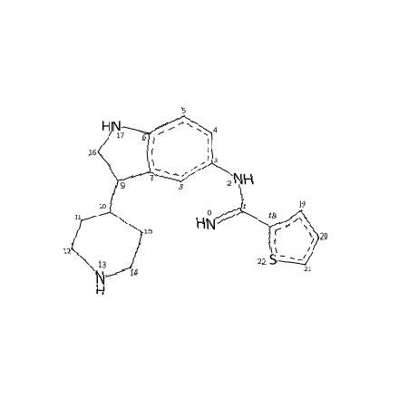 N=C(Nc1ccc2c(c1)C(C1CCNCC1)CN2)c1cccs1